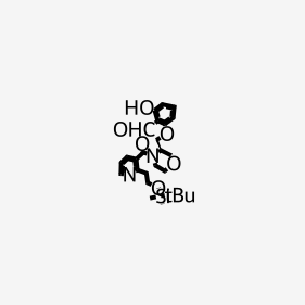 CC(C)(C)[Si](C)(C)OCCc1ncccc1C(=O)N1CCOC[C@@H]1COc1cccc(O)c1C=O